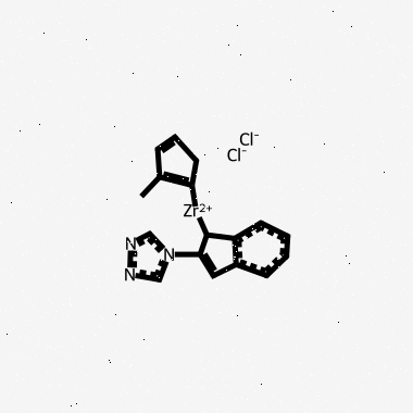 CC1=[C]([Zr+2][CH]2C(n3cnnc3)=Cc3ccccc32)CC=C1.[Cl-].[Cl-]